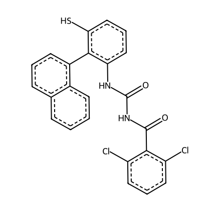 O=C(NC(=O)c1c(Cl)cccc1Cl)Nc1cccc(S)c1-c1cccc2ccccc12